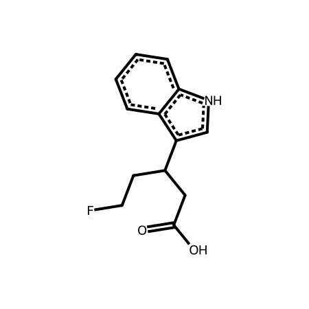 O=C(O)CC(CCF)c1c[nH]c2ccccc12